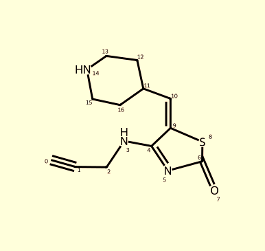 C#CCNC1=NC(=O)SC1=CC1CCNCC1